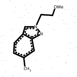 COCCn1cc2ccc(C)cc2n1